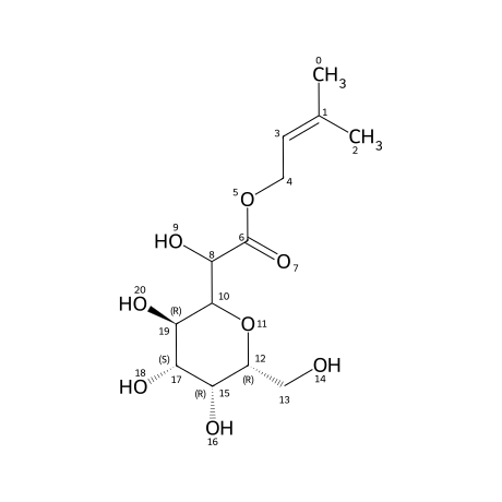 CC(C)=CCOC(=O)C(O)C1O[C@H](CO)[C@H](O)[C@H](O)[C@H]1O